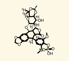 [2H]C1([2H])O[C@@H](C)O[C@H]2[C@H](O)[C@@H](O)[C@H](O[C@@H]3c4cc5c(cc4[C@@]([2H])(c4cc(OC)c(OP(=O)(O)O)c(OC)c4)[C@H]4C(=O)OC[C@H]34)OCO5)O[C@@H]21